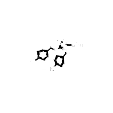 CCCCc1nnc(SCc2ccc(Cl)cc2)n1Cc1ccc(N)cc1